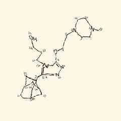 CN1CCN(CCOc2nnc(C34CC5CC(CC3C5)C4)n2CCCO)CC1